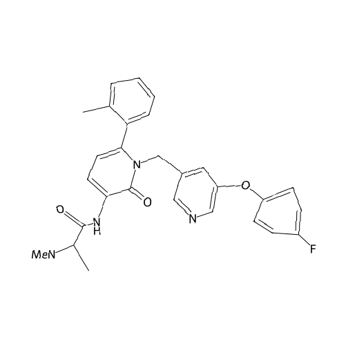 CNC(C)C(=O)Nc1ccc(-c2ccccc2C)n(Cc2cncc(Oc3ccc(F)cc3)c2)c1=O